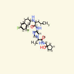 CCC[C@H](N[C@H]1CCc2cc(F)cc(F)c2C1)C(=O)Nc1cn(C(C)C(=O)NCC2(O)CCCC2)cn1